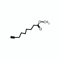 [C]#CCCCCCCC(=O)OC